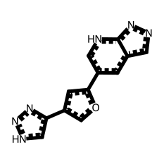 c1oc(-c2c[nH]c3nncc-3c2)cc1-c1c[nH]nn1